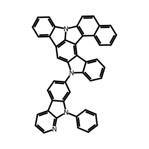 c1ccc(-n2c3cc(-n4c5ccccc5c5c6c7c8ccccc8ccc7n7c8ccccc8c(cc54)c67)ccc3c3cccnc32)cc1